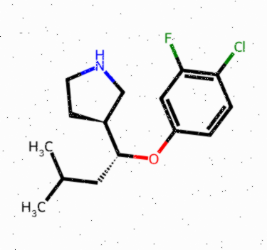 CC(C)C[C@@H](Oc1ccc(Cl)c(F)c1)[C@H]1CCNC1